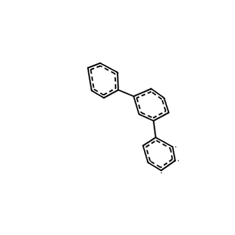 [c]1[c]ccc(-c2cccc(-c3ccccc3)c2)[c]1